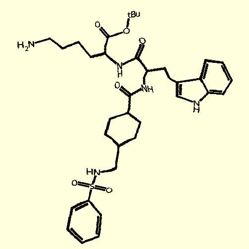 CC(C)(C)OC(=O)C(CCCCN)NC(=O)C(Cc1c[nH]c2ccccc12)NC(=O)C1CCC(CNS(=O)(=O)c2ccccc2)CC1